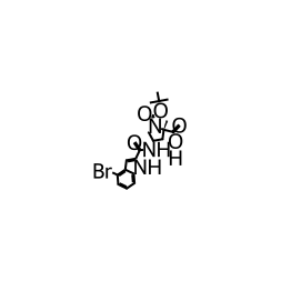 CC(C)(C)OC(=O)N1C[C@H](NC(=O)c2cc3c(Br)cccc3[nH]2)C[C@@]1(C)C(=O)O